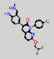 CN/C=C1/C=C(c2cc3ccc(OCC(F)F)nc3n(-c3ccc(Cl)cc3)c2=O)C=CC1=N